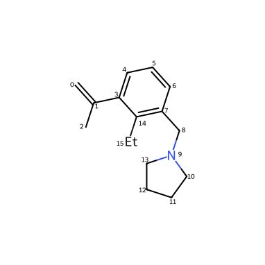 C=C(C)c1cccc(CN2CCCC2)c1CC